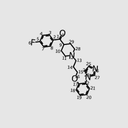 O=C(c1ccc(F)cc1)C1CCN(CCCOc2ccccc2-n2ccnc2)CC1